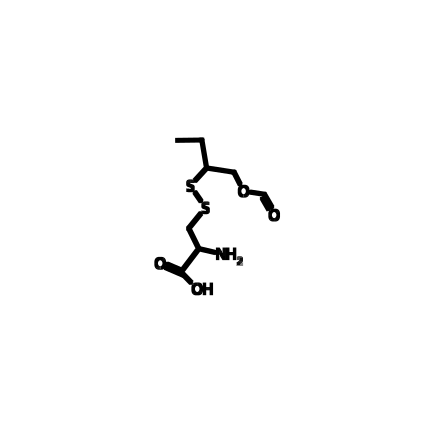 CCC(COC=O)SSCC(N)C(=O)O